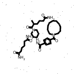 CC(CCCC(N)=O)C(=O)N1CCCCC1.NC(=O)CCCCC(N)=O.NC(=O)c1ccc(C(=O)N2CCCCCCCCCC2)cc1